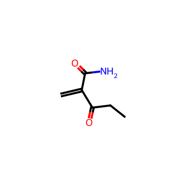 C=C(C(N)=O)C(=O)CC